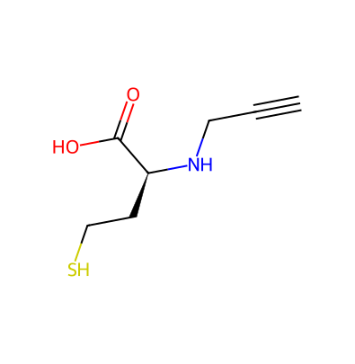 C#CCN[C@@H](CCS)C(=O)O